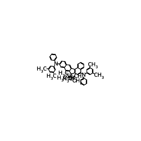 Cc1cc(C)cc(N(c2ccccc2)c2ccc3cc4c(cc3c2)C([Si](C)(C)C)([Si](C)(C)C)c2cc(N(c3ccccc3)c3cc(C)cc(C)c3)c3ccccc3c2-4)c1